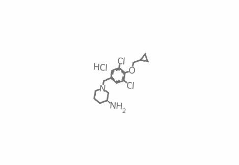 Cl.N[C@H]1CCCN(Cc2cc(Cl)c(OCC3CC3)c(Cl)c2)C1